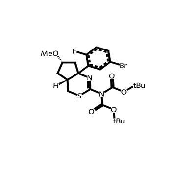 CO[C@H]1C[C@H]2CSC(N(C(=O)OC(C)(C)C)C(=O)OC(C)(C)C)=NC2(c2cc(Br)ccc2F)C1